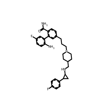 NC(=O)c1ccc(CCCN2CCC(CNC3CC3c3ccc(F)cc3)CC2)cc1-c1cc(F)ccc1N